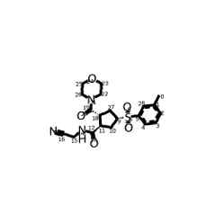 Cc1cccc(S(=O)(=O)[C@@H]2C[C@@H](C(=O)NCC#N)[C@H](C(=O)N3CCOCC3)C2)c1